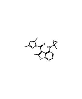 Cc1cc(C)n(C(=O)c2c(C)oc3ncnc(NC4(C)CC4)c23)n1